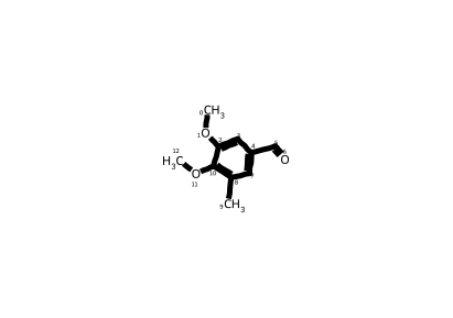 COc1cc(C=O)cc(C)c1OC